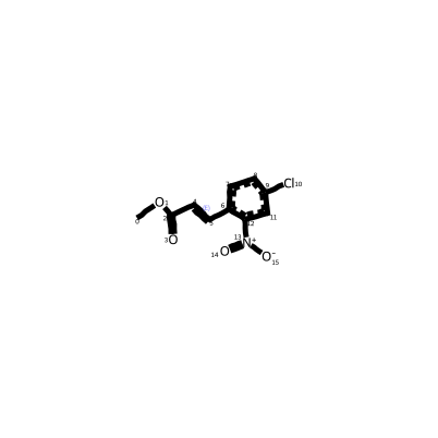 COC(=O)/C=C/c1ccc(Cl)cc1[N+](=O)[O-]